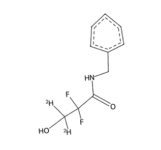 [2H]C([2H])(O)C(F)(F)C(=O)NCc1ccccc1